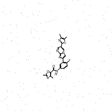 Cc1nc(C)c(C(=O)Nc2ccc(F)c(-c3cn4cc(-c5nc(C)c(C)s5)cnc4n3)c2)o1